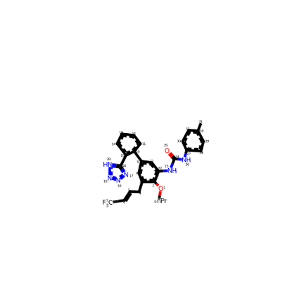 CCCOc1c(CC=CC(F)(F)F)cc(-c2ccccc2-c2nnn[nH]2)cc1NC(=O)Nc1ccc(C)cc1